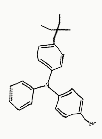 CC(C)(C)c1ccc(N(c2ccccc2)c2ccc(Br)cc2)cc1